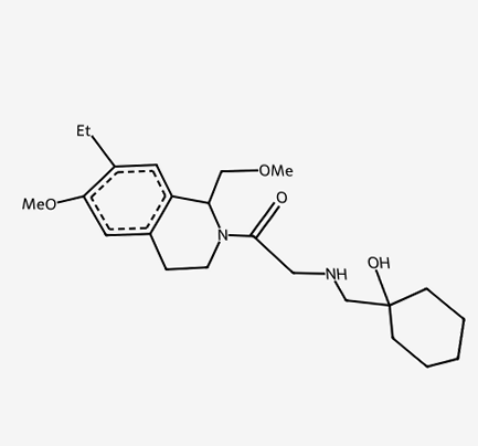 CCc1cc2c(cc1OC)CCN(C(=O)CNCC1(O)CCCCC1)C2COC